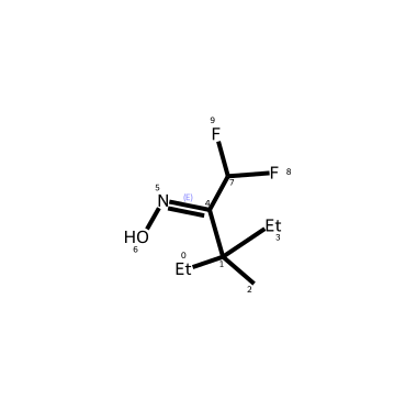 CCC(C)(CC)/C(=N\O)C(F)F